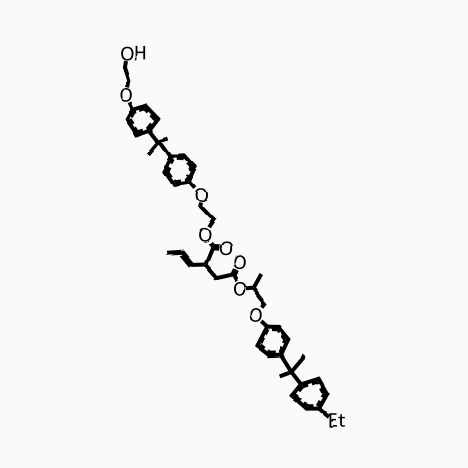 C/C=C/C(CC(=O)OC(C)COc1ccc(C(C)(C)c2ccc(CC)cc2)cc1)C(=O)OCCOc1ccc(C(C)(C)c2ccc(OCCO)cc2)cc1